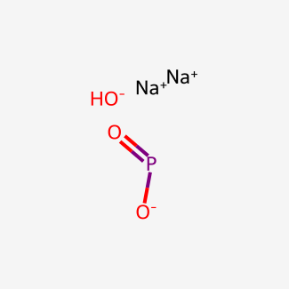 O=P[O-].[Na+].[Na+].[OH-]